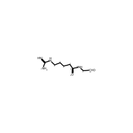 N=C(N)NCCCCC(=O)NCC=O